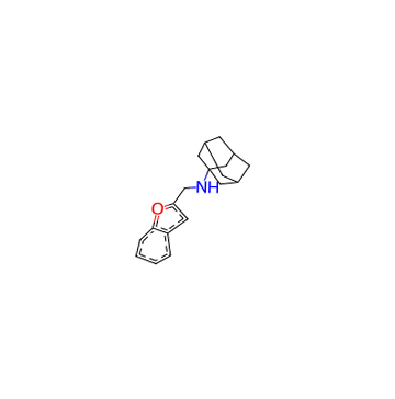 c1ccc2oc(CNC34CC5CC(CC(C5)C3)C4)cc2c1